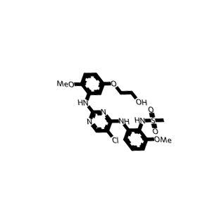 COc1ccc(OCCO)cc1Nc1ncc(Cl)c(Nc2cccc(OC)c2NS(C)(=O)=O)n1